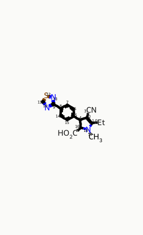 CCC1=C(C#N)C(c2ccc(-c3ncsn3)cc2)C(C(=O)O)N1C